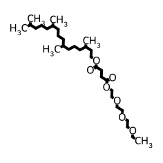 CCOCCOCCOCCOC(=O)CCC(=O)OCCC(C)CCCC(C)CCCC(C)CCCC(C)C